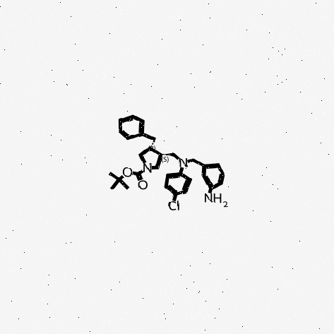 CC(C)(C)OC(=O)N1C[C@H](CN(Cc2cccc(N)c2)c2ccc(Cl)cc2)[C@@H](Cc2ccccc2)C1